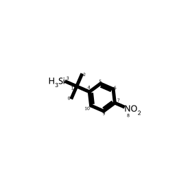 CC(C)([SiH3])c1ccc([N+](=O)[O-])cc1